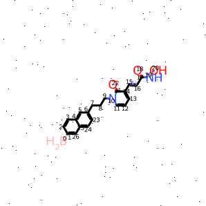 Bc1ccc2cc(CCCn3cccc(/C=C/C(=O)NO)c3=O)ccc2c1